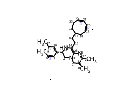 C=C1CN2CC(C(/C=C\C)=C/CC)NC(CCC3C/C=C\C=C/CC3)=C2N=C1C